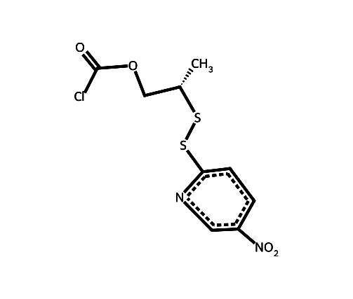 C[C@@H](COC(=O)Cl)SSc1ccc([N+](=O)[O-])cn1